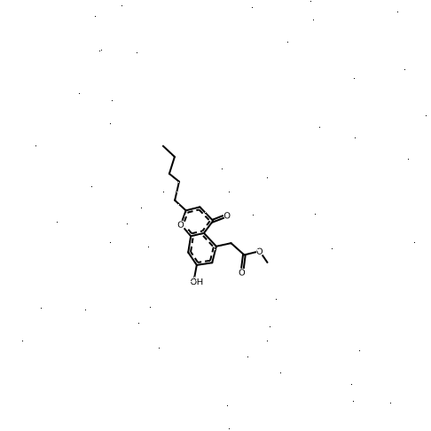 CCCCCc1cc(=O)c2c(CC(=O)OC)cc(O)cc2o1